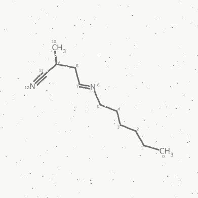 CCCCCCN=CCC(C)C#N